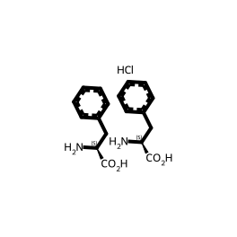 Cl.N[C@@H](Cc1ccccc1)C(=O)O.N[C@@H](Cc1ccccc1)C(=O)O